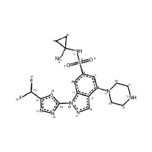 N#CC1(NS(=O)(=O)c2cc(N3CCNCC3)c3cnn(-c4nnc(C(F)F)s4)c3c2)CC1